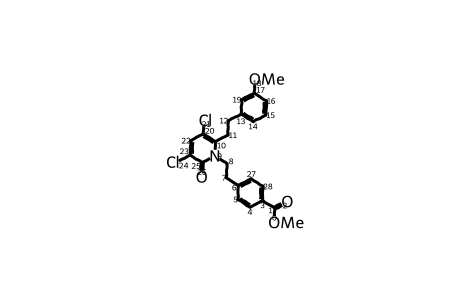 COC(=O)c1ccc(CCn2c(CCc3cccc(OC)c3)c(Cl)cc(Cl)c2=O)cc1